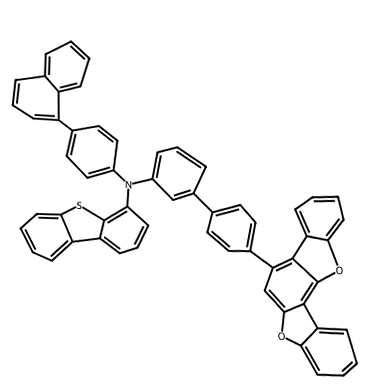 c1cc(-c2ccc(-c3cc4oc5ccccc5c4c4oc5ccccc5c34)cc2)cc(N(c2ccc(-c3cccc4ccccc34)cc2)c2cccc3c2sc2ccccc23)c1